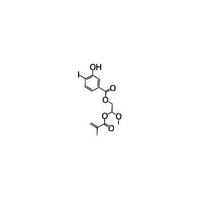 C=C(C)C(=O)OC(COC(=O)c1ccc(I)c(O)c1)OC